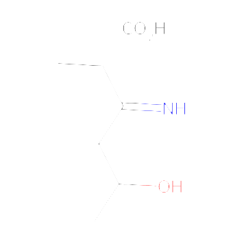 CC(O)CC(=N)[C@H](C)C(=O)O